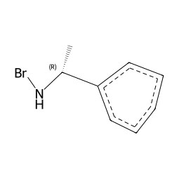 C[C@@H](NBr)c1ccccc1